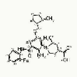 CC1CN(C(=O)O)CCN1c1nc(OCC2CCCN2C)nc(C(=O)Nc2ccccc2F)c1N